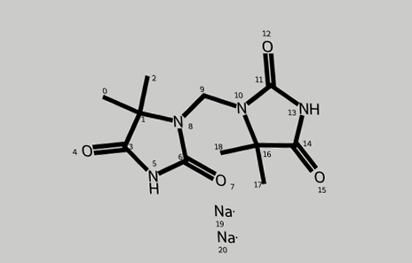 CC1(C)C(=O)NC(=O)N1CN1C(=O)NC(=O)C1(C)C.[Na].[Na]